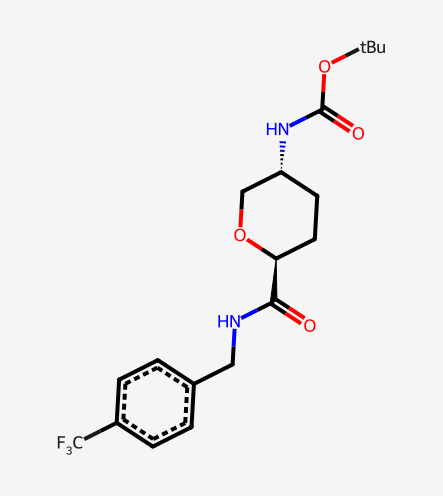 CC(C)(C)OC(=O)N[C@@H]1CC[C@@H](C(=O)NCc2ccc(C(F)(F)F)cc2)OC1